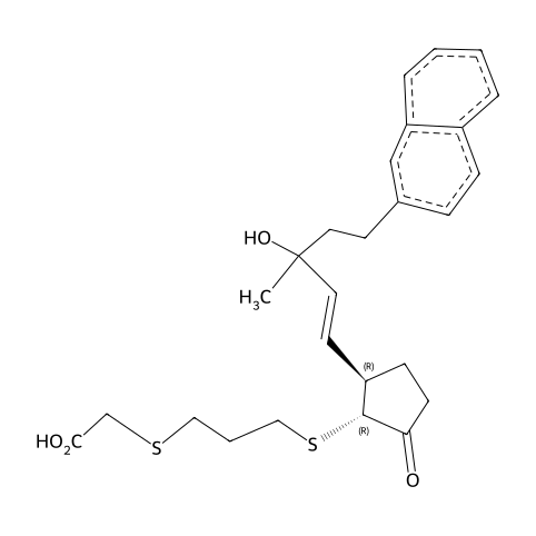 CC(O)(C=C[C@H]1CCC(=O)[C@@H]1SCCCSCC(=O)O)CCc1ccc2ccccc2c1